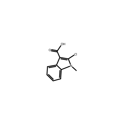 Cn1c(Cl)c(C(=O)O)c2ccccc21